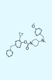 COc1ccc(CN(C)C2CCN(C(=O)Oc3ccc(Cc4ccccc4)cc3C3CC3)CC2)cc1